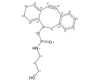 O=C(NCCCO)OC1Cc2ccccc2C#CC2=CCCC=C21